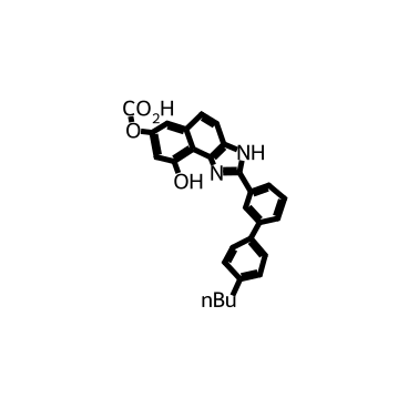 CCCCc1ccc(-c2cccc(-c3nc4c(ccc5cc(OC(=O)O)cc(O)c54)[nH]3)c2)cc1